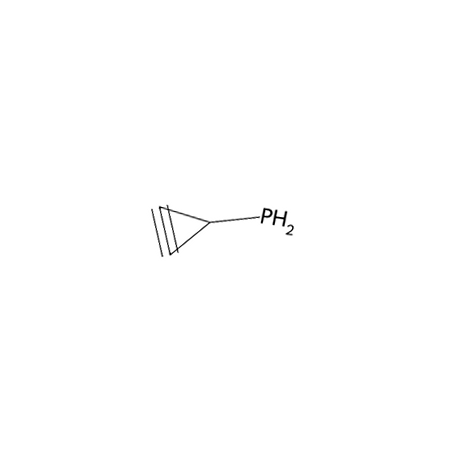 PC1C#C1